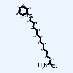 [CH2]CC(N)SCCCCCCCCCCCSc1ccccc1